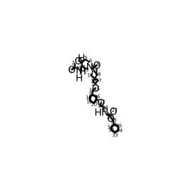 O=C1CO[C@H]2CCN(C(=O)N3CC4(CC(OCc5cccc(OCCNC(=O)OCc6ccccc6)c5)C4)C3)C[C@H]2N1